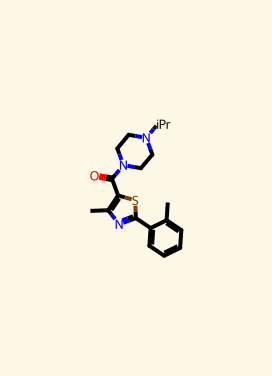 Cc1ccccc1-c1nc(C)c(C(=O)N2CCN(C(C)C)CC2)s1